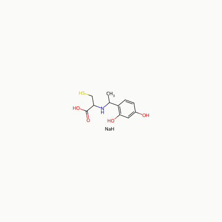 CC(NC(CS)C(=O)O)c1ccc(O)cc1O.[NaH]